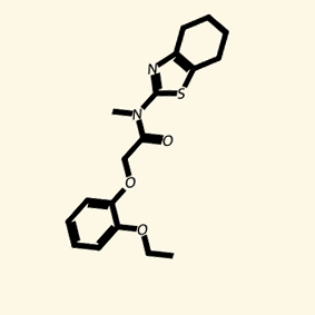 CCOc1ccccc1OCC(=O)N(C)c1nc2c(s1)CCCC2